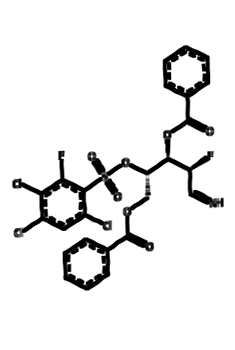 N=C[C@H](F)[C@H](OC(=O)c1ccccc1)[C@H](COC(=O)c1ccccc1)OS(=O)(=O)c1c(Cl)cc(Cl)c(Cl)c1F